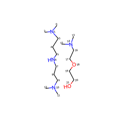 CN(C)CCCNCCCN(C)C.CN(C)CCOCCO